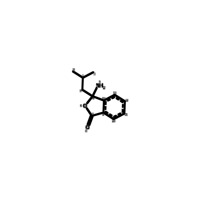 CC(C)CC1(N)OC(=O)c2ccccc21